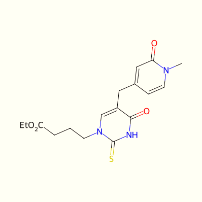 CCOC(=O)CCCn1cc(Cc2ccn(C)c(=O)c2)c(=O)[nH]c1=S